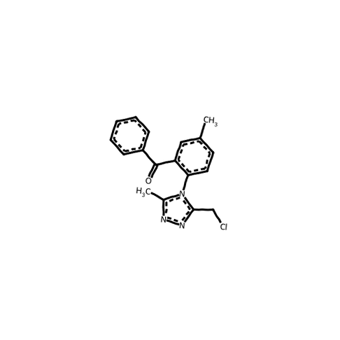 Cc1ccc(-n2c(C)nnc2CCl)c(C(=O)c2ccccc2)c1